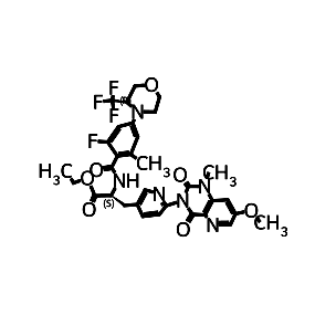 CCOC(=O)[C@H](Cc1ccc(-n2c(=O)c3ncc(OC)cc3n(C)c2=O)nc1)NC(=O)c1c(C)cc(N2CCOC[C@@H]2C(F)(F)F)cc1F